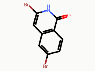 O=c1[nH]c(Br)cc2cc(Br)ccc12